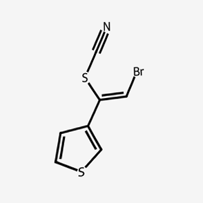 N#CSC(=CBr)c1ccsc1